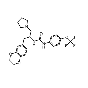 O=C(Nc1ccc(OC(F)(F)F)cc1)NC(Cc1ccc2c(c1)OCCO2)CN1CCCC1